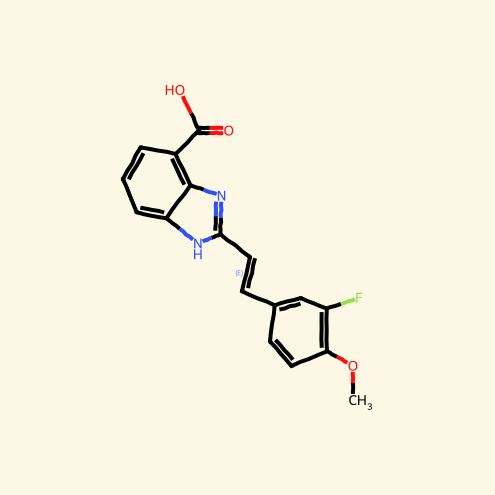 COc1ccc(/C=C/c2nc3c(C(=O)O)cccc3[nH]2)cc1F